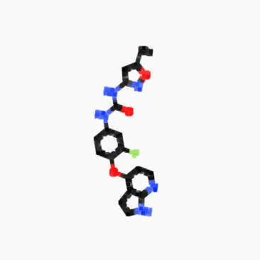 CC(C)(C)c1cc(NC(=O)Nc2ccc(Oc3ccnc4[nH]ccc34)c(F)c2)no1